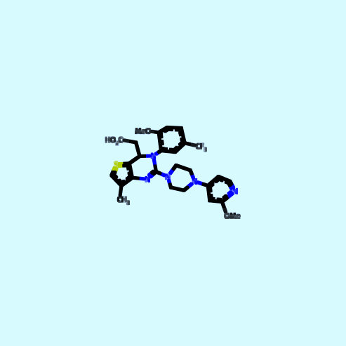 COc1cc(N2CCN(C3=Nc4c(C)csc4C(CC(=O)O)N3c3cc(C(F)(F)F)ccc3OC)CC2)ccn1